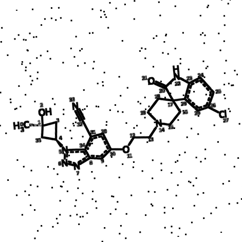 C[C@]1(O)C[C@@H](n2nnc3cc(OCCN4CCC5(CC4)C(=O)Nc4ccc(Cl)cc45)cc(C#N)c32)C1